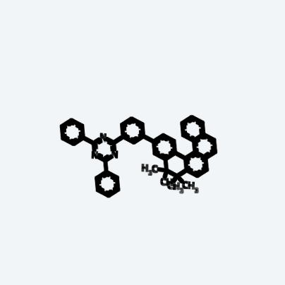 CC1(C)c2cc(-c3cccc(-c4nc(-c5ccccc5)nc(-c5ccccc5)n4)c3)ccc2-c2c(ccc3ccc4ccccc4c23)C1(C)C